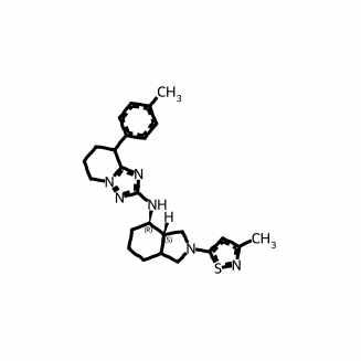 Cc1ccc(C2CCCn3nc(N[C@@H]4CCCC5CN(c6cc(C)ns6)C[C@H]54)nc32)cc1